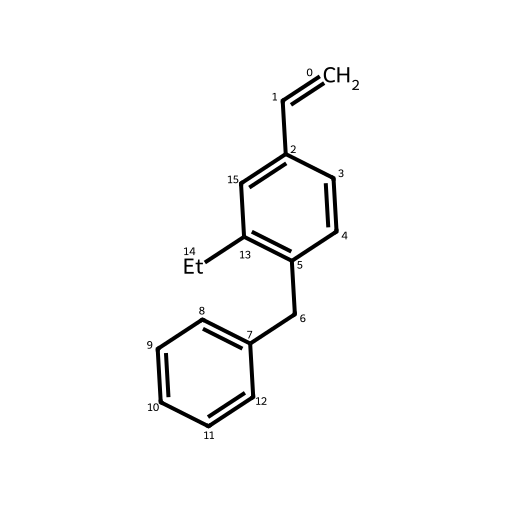 C=Cc1ccc(Cc2ccccc2)c(CC)c1